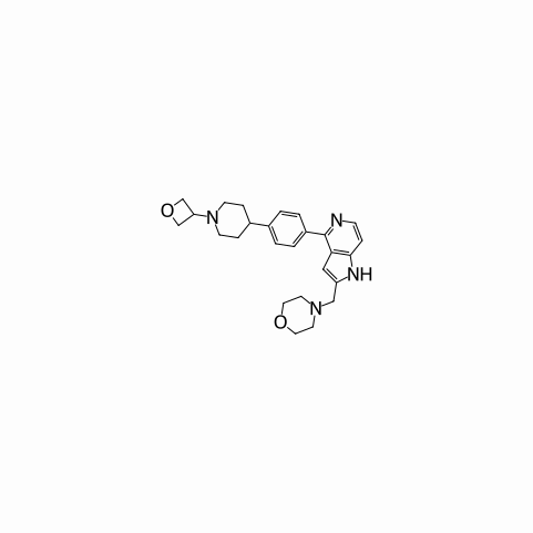 c1cc2[nH]c(CN3CCOCC3)cc2c(-c2ccc(C3CCN(C4COC4)CC3)cc2)n1